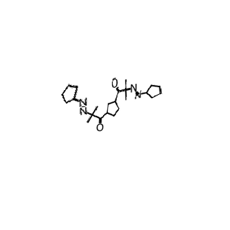 CC(C)(N=NC1CCCC1)C(=O)C1CCC(C(=O)C(C)(C)N=NC2CCCC2)C1